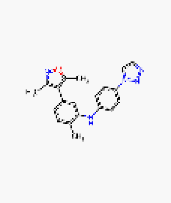 Cc1ccc(-c2c(C)noc2C)cc1Nc1ccc(-n2ccnn2)cc1